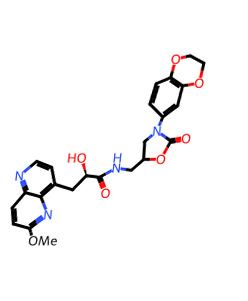 COc1ccc2nccc(C[C@@H](O)C(=O)NCC3CN(c4ccc5c(c4)OCCO5)C(=O)O3)c2n1